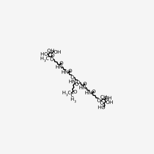 CC(C)C(=O)CCCC(=O)NC(COCCC(=O)NCCCNC(=O)CCCCOC1OC(CO)C(O)C(O)C1C)COCCC(=O)NCCCNC(=O)CCCCOC1OC(CO)C(O)C(O)C1C